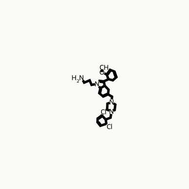 COC1=CC=CCC1C1=CN(CCCN)C2=CC=C(CN3CCN(CC4C(Cl)=CC=CC4Cl)CC3)CC12